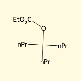 [CH2]COC(=O)OC(CCC)(CCC)CCC